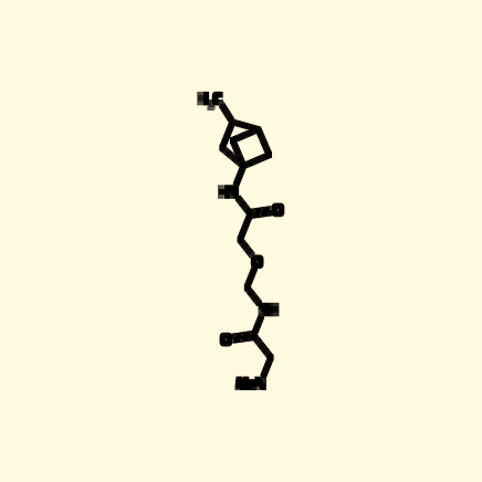 CNCC(=O)NCOCC(=O)NC12CC(C)C(C1)C2